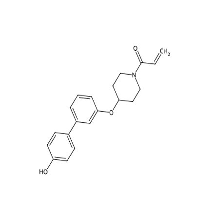 C=CC(=O)N1CCC(Oc2cccc(-c3ccc(O)cc3)c2)CC1